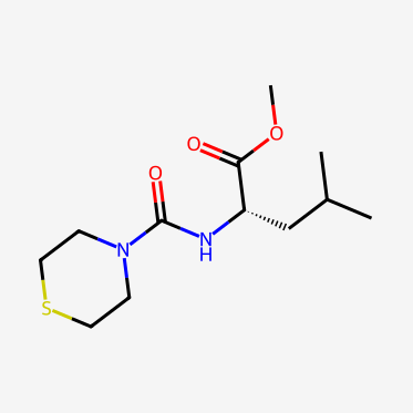 COC(=O)[C@H](CC(C)C)NC(=O)N1CCSCC1